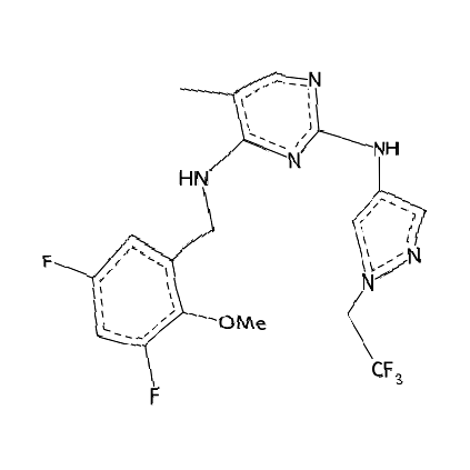 COc1c(F)cc(F)cc1CNc1nc(Nc2cnn(CC(F)(F)F)c2)ncc1C